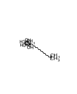 CC(C)CCCCCCCCCCCCCCC(=O)OC1(C)O[C@H](CO)[C@@H](O)[C@H](O)[C@H]1O